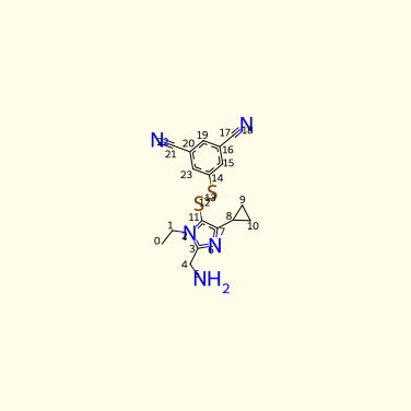 CCn1c(CN)nc(C2CC2)c1SSc1cc(C#N)cc(C#N)c1